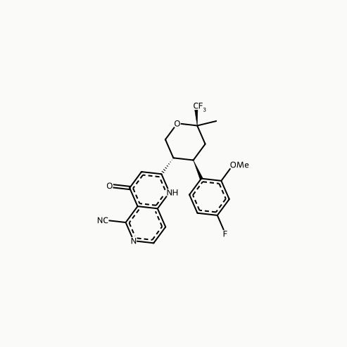 COc1cc(F)ccc1[C@@H]1C[C@](C)(C(F)(F)F)OC[C@H]1c1cc(=O)c2c(C#N)nccc2[nH]1